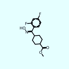 COC(=O)C1CCC(C(=NO)c2ccc(F)cc2F)CC1